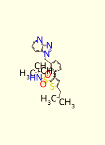 CC(C)Cc1cc(-c2cccc(Cn3cnc4ncccc43)c2)c(S(=O)(=O)NC(C)(C)C)s1